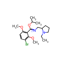 CCN1CCCC1C/N=C(\OC(C)C)c1c(OC)ccc(Br)c1OC